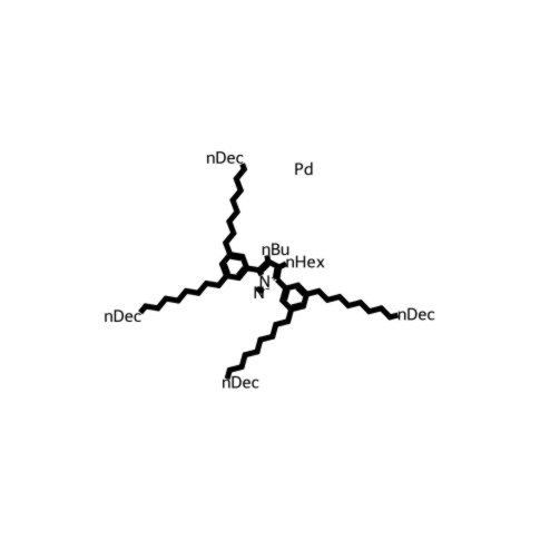 CCCCCCCCCCCCCCCCCCc1cc(CCCCCCCCCCCCCCCCCC)cc(C2=C(CCCC)C(CCCCCC)=C(c3cc(CCCCCCCCCCCCCCCCCC)cc(CCCCCCCCCCCCCCCCCC)c3)[N+]2=[N-])c1.[Pd]